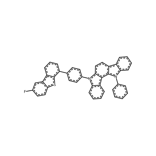 Fc1ccc2sc3c(-c4ccc(-n5c6ccccc6c6c5ccc5c7ccccc7n(-c7ccccc7)c56)cc4)cccc3c2c1